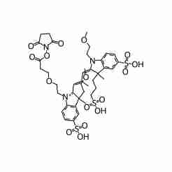 COCCN1/C(=C/C(C)=C/C2=[N+](CCOCCC(=O)ON3C(=O)CCC3=O)c3ccc(S(=O)(=O)O)cc3C2(C)CCOC)C(C)(CCCS(=O)(=O)O)c2cc(S(=O)(=O)O)ccc21